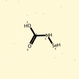 O=C(O)N[SeH]